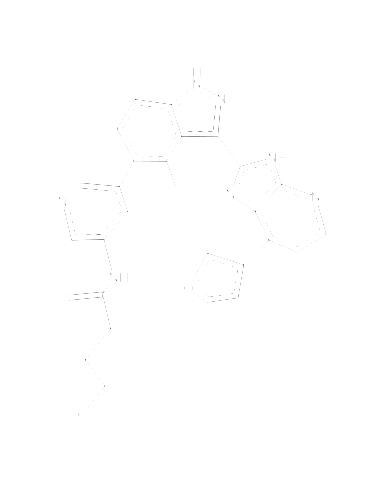 CCCCC(=O)Nc1cncc(-c2ccc3[nH]nc(-c4nc5c(-c6ccoc6)ccnc5[nH]4)c3c2F)c1